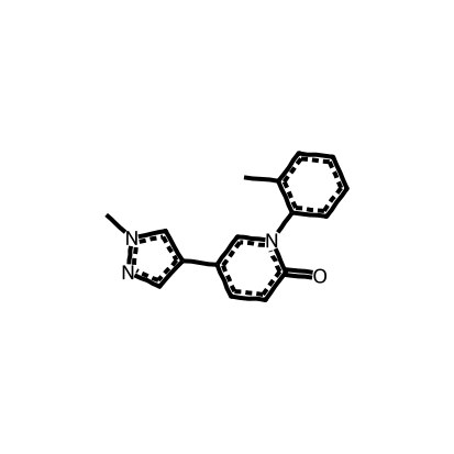 Cc1ccccc1-n1cc(-c2cnn(C)c2)ccc1=O